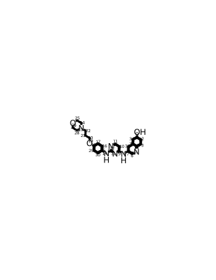 Oc1ccc2ncc(Nc3ccnc(Nc4ccc(OCCCN5CCOCC5)cc4)n3)cc2c1